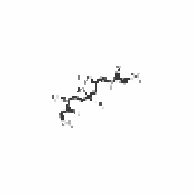 C=CC(=O)NCC(C)CC(C)(C)CCN(C)C(=O)C=C